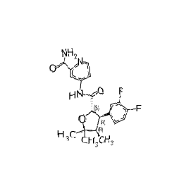 C[C@@H]1[C@H](c2ccc(F)c(F)c2)[C@@H](C(=O)Nc2ccnc(C(N)=O)c2)OC1(C)C